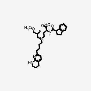 COCC(F)CN(CCCCc1ccc2c(n1)NCCC2)CCC(NC(=O)C1CCc2ccccc21)C(=O)O